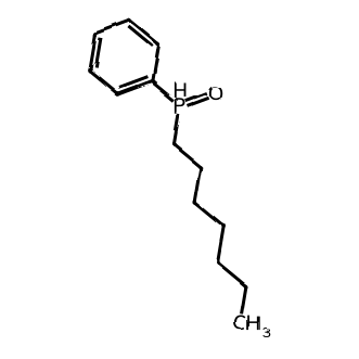 CCCCCCC[PH](=O)c1ccccc1